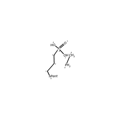 CCCCCCCCP(=O)(O)O.CP